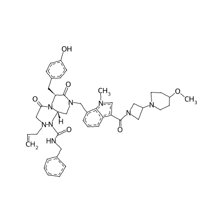 C=CCN1CC(=O)N2[C@@H](Cc3ccc(O)cc3)C(=O)N(Cc3cccc4c(C(=O)N5CC(N6CCC(OC)CC6)C5)cn(C)c34)C[C@@H]2N1C(=O)NCc1ccccc1